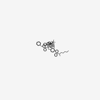 CCCCCC(C)C(=O)Oc1ccc(CC(NC(=O)OC(C)(C)C)(C(=O)O)C(=O)OCc2ccccc2)cc1